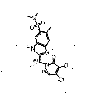 Cc1cc2nc([C@@H](C)n3ncc(Cl)c(Cl)c3=O)[nH]c2cc1S(=O)(=O)N(C)C